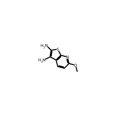 COc1ccc2c(N)c(N)sc2n1